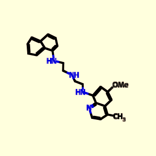 COc1cc(NCCNCCNc2cccc3ccccc23)c2nccc(C)c2c1